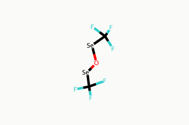 FC(F)(F)[Se]O[Se]C(F)(F)F